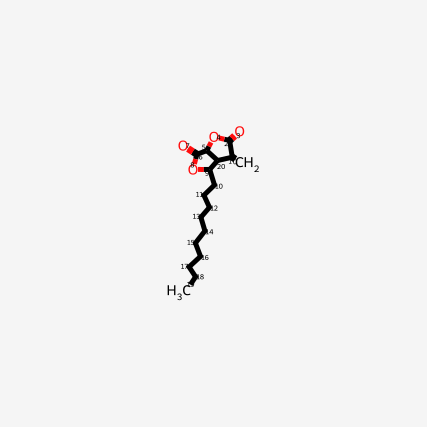 C=C1C(=O)OC2C(=O)OC(CCCCCCCCCC)C12